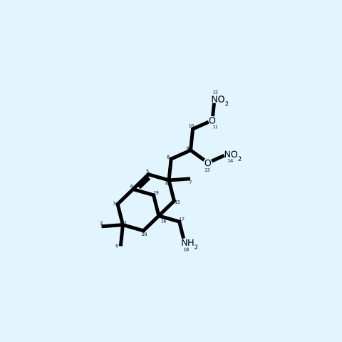 CC1(C)CC2=CC(C)(CC(CO[N+](=O)[O-])O[N+](=O)[O-])CC(CN)(C2)C1